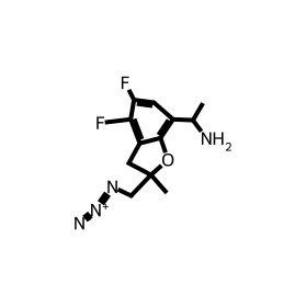 CC(N)c1cc(F)c(F)c2c1OC(C)(CN=[N+]=[N-])C2